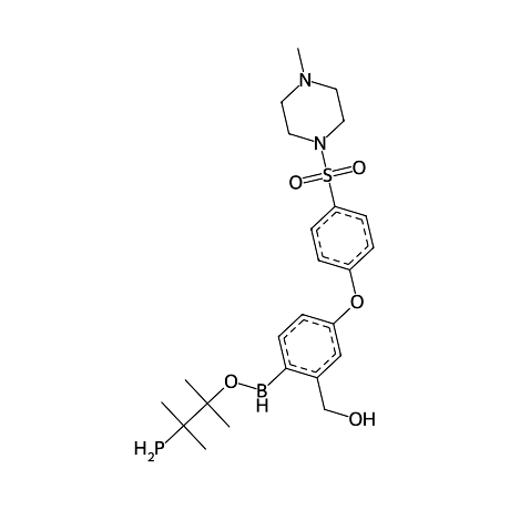 CN1CCN(S(=O)(=O)c2ccc(Oc3ccc(BOC(C)(C)C(C)(C)P)c(CO)c3)cc2)CC1